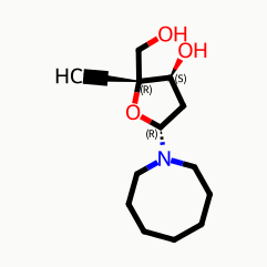 C#C[C@]1(CO)O[C@@H](N2CCCCCCC2)C[C@@H]1O